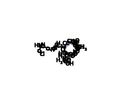 CO[C@@H]1C[C@H](/C=C(\C)[C@H]2OC(=O)[C@@H]3CCCCN3C(=O)C(=O)[C@]3(O)O[C@H]([C@@H](O)C[C@@H](C)C/C(C)=C/[C@@H](CCCCC(=O)N4CCN(Cc5ccc(-c6cnc7[nH]cc(-c8cccc(Cl)c8)c7c6)cc5)CC4)C(=O)C[C@H](O)[C@H]2C)[C@@H](C=O)C[C@H]3C)CC[C@H]1O